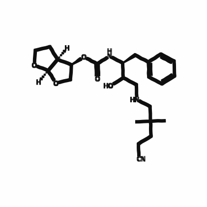 CC(C)(CCC#N)CNCC(O)[C@H](Cc1ccccc1)NC(=O)O[C@H]1CO[C@H]2OCC[C@H]21